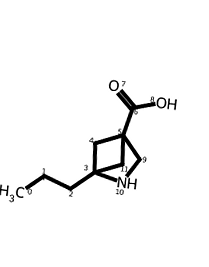 C[CH]CC12CC(C(=O)O)(CN1)C2